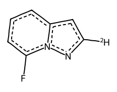 [2H]c1cc2cccc(F)n2n1